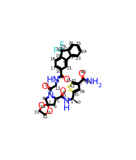 C[C@@H](NC(=O)C1CC2(CN1C(=O)CNC(=O)c1ccc3c(c1)-c1ccccc1C3(F)F)OCCO2)c1cc(C(N)=O)cs1